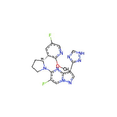 COc1ncc(F)cc1[C@H]1CCCN1c1nc2c(-c3nc[nH]n3)cnn2cc1F